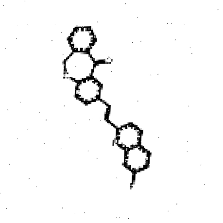 O=C1c2ccccc2COc2ccc(C=Cc3ccc4ccc(F)cc4n3)cc21